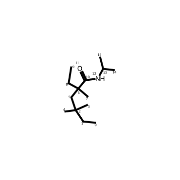 CCC(C)(C)CC(C)(CC)C(=O)NC(C)C